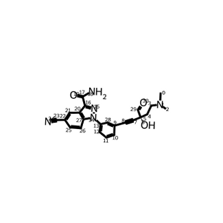 CN(C)CC[C@@](O)(C#Cc1cccc(-n2nc(C(N)=O)c3cc(C#N)ccc32)c1)C=O